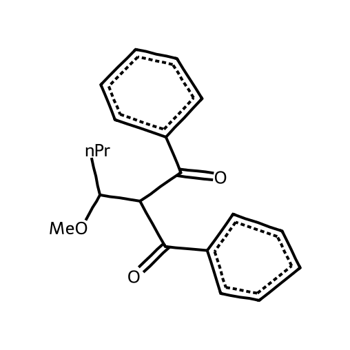 CCCC(OC)C(C(=O)c1ccccc1)C(=O)c1ccccc1